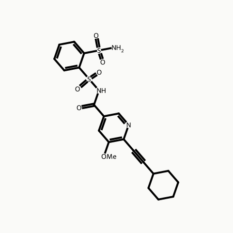 COc1cc(C(=O)NS(=O)(=O)c2ccccc2S(N)(=O)=O)cnc1C#CC1CCCCC1